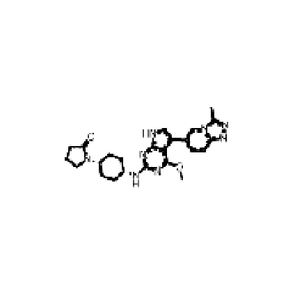 COc1nc(N[C@H]2CC[C@@H](N3CCCC3=O)CC2)nc2[nH]cc(-c3ccc4nnc(C)n4c3)c12